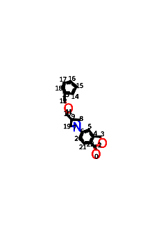 O=C1OCc2cc(N3CC(COCc4ccccc4)C3)ccc21